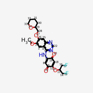 COc1cc2c(NC3=CC(=O)C(OC(CF)CF)=CC3=O)ncnc2cc1OCC1CCCCO1